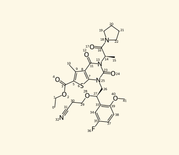 CCOC(=O)c1sc2c(c1C)c(=O)n([C@H](C)C(=O)N1CCCC1)c(=O)n2C[C@H](OCCC#N)c1cc(F)ccc1OC